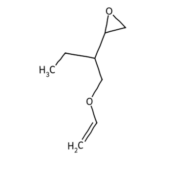 C=COCC(CC)C1CO1